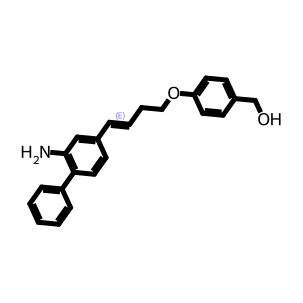 Nc1cc(/C=C/CCOc2ccc(CO)cc2)ccc1-c1ccccc1